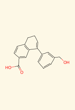 O=C(O)c1ccc2c(c1)C(c1cccc(CO)c1)=CCC2